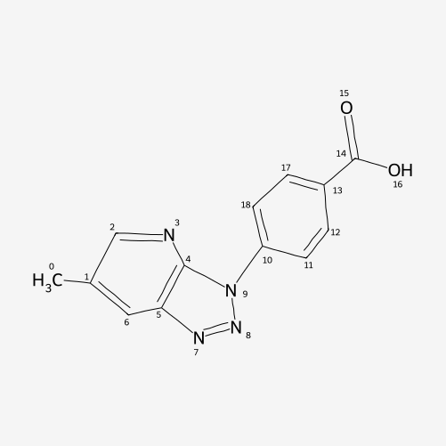 Cc1cnc2c(c1)nnn2-c1ccc(C(=O)O)cc1